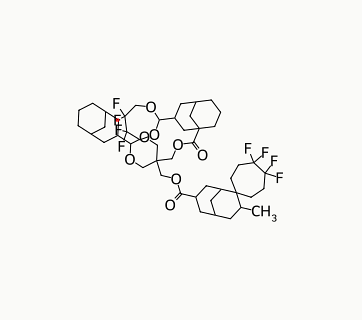 CC1CC2CC(C(=O)OCC3(COC(=O)C45CCCC(CC(C6OCC(F)(F)C(F)(F)CO6)C4)C5)COC(C4CC5CCCC(C5)C4)OC3)CC(C2)C12CCC(F)(F)C(F)(F)CC2